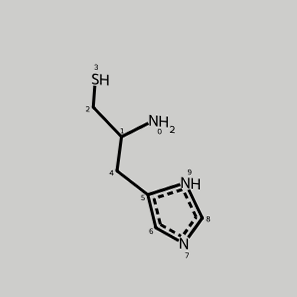 NC(CS)Cc1cnc[nH]1